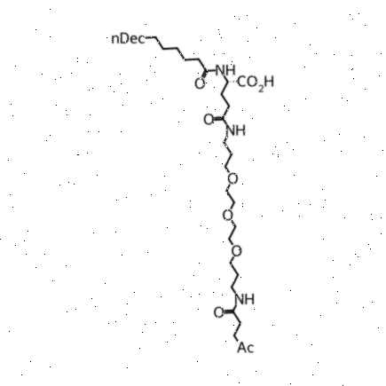 CCCCCCCCCCCCCCCC(=O)N[C@@H](CCC(=O)NCCCOCCOCCOCCCNC(=O)CCC(C)=O)C(=O)O